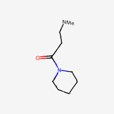 CNCCC(=O)N1CC[CH]CC1